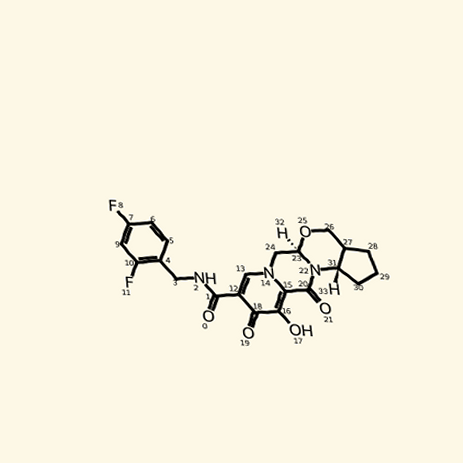 O=C(NCc1ccc(F)cc1F)c1cn2c(c(O)c1=O)C(=O)N1[C@@H](C2)OCC2CCC[C@@H]21